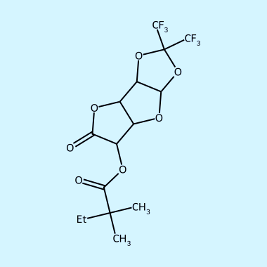 CCC(C)(C)C(=O)OC1C(=O)OC2C3OC(C(F)(F)F)(C(F)(F)F)OC3OC12